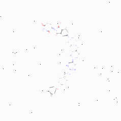 N#Cc1ccc(OC2CCC(C(=O)Nc3ncc(N4CCC(CN5CCN(c6ccc7c(c6)C(=O)N(C6CCC(=O)NC6=O)C7=O)CC5)CC4)cn3)CC2)cc1Cl